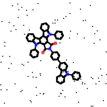 O=C1c2c(c3c(c4ccccc4n3-c3ccccc3)c3c4ccccc4n(-c4ccccc4)c23)C(=O)N1c1ccc(-c2ccc3c(c2)c2ccccc2n3-c2ccccc2)cc1